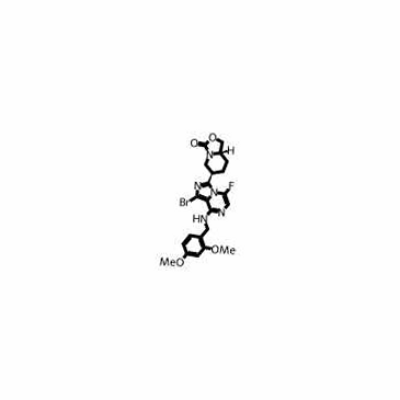 COc1ccc(CNc2ncc(F)n3c([C@@H]4CC[C@H]5COC(=O)N5C4)nc(Br)c23)c(OC)c1